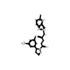 C=C(CCC(=O)N1N=CCC1c1cc(C)cc(P)c1)Cn1cc2nc(C)ccc2n1